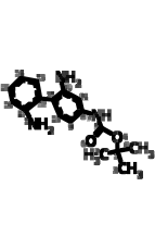 CC(C)(C)OC(=O)Nc1ccc(-c2ccccc2N)c(N)c1